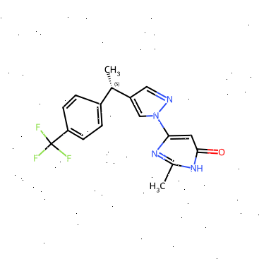 Cc1nc(-n2cc([C@@H](C)c3ccc(C(F)(F)F)cc3)cn2)cc(=O)[nH]1